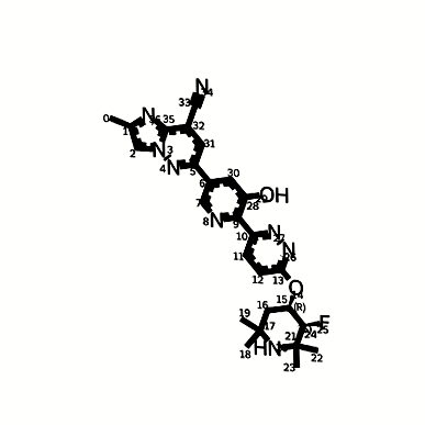 Cc1cn2nc(-c3cnc(-c4ccc(O[C@@H]5CC(C)(C)NC(C)(C)[C@@H]5F)nn4)c(O)c3)cc(C#N)c2n1